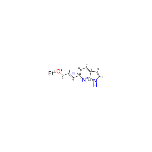 CCOC/C=C/c1ccc2cc[nH]c2n1